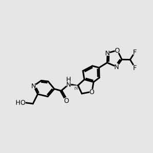 O=C(N[C@@H]1COc2cc(-c3noc(C(F)F)n3)ccc21)c1ccnc(CO)c1